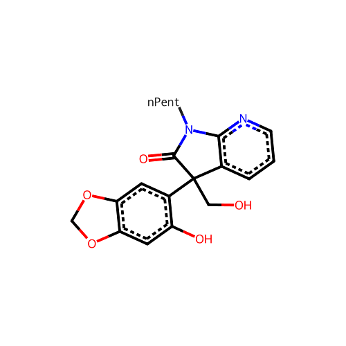 CCCCCN1C(=O)C(CO)(c2cc3c(cc2O)OCO3)c2cccnc21